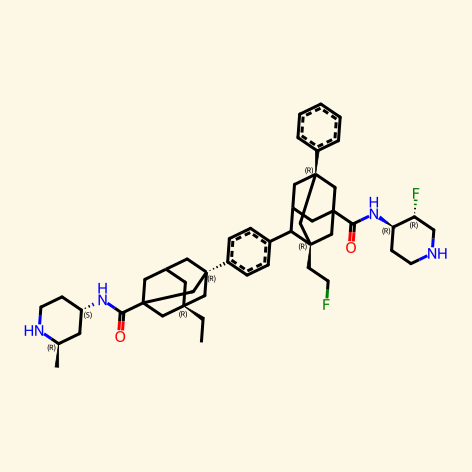 CC[C@]12CC3CC(C(=O)N[C@H]4CCN[C@H](C)C4)(C1)C[C@@](c1ccc(C4C5CC6(C(=O)N[C@@H]7CCNC[C@H]7F)C[C@@](c7ccccc7)(C5)C[C@]4(CCF)C6)cc1)(C3)C2